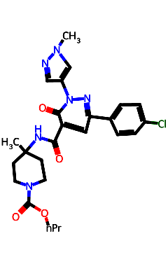 CCCOC(=O)N1CCC(C)(NC(=O)c2cc(-c3ccc(Cl)cc3)nn(-c3cnn(C)c3)c2=O)CC1